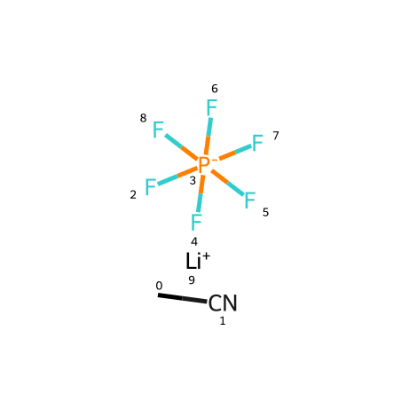 CC#N.F[P-](F)(F)(F)(F)F.[Li+]